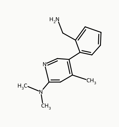 Cc1cc(N(C)C)ncc1-c1ccccc1CN